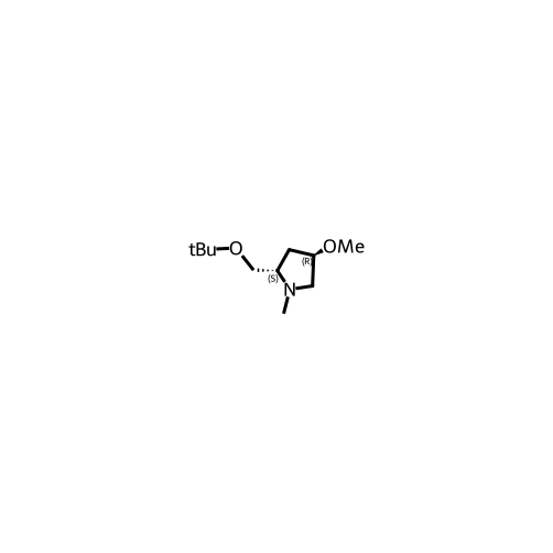 CO[C@@H]1C[C@@H](COC(C)(C)C)N(C)C1